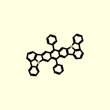 c1ccc(-c2c3cc4c5cccc6c7ccccc7n(c4cc3c(-c3ccccc3)c3cc4c7cccc8c9ccccc9n(c4cc23)c87)c65)cc1